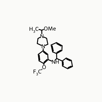 COC(C)N1CCN(c2ccc(OC(F)(F)F)c(NC(c3ccccc3)c3ccccc3)c2)CC1